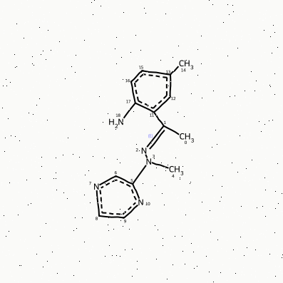 C/C(=N\N(C)c1cnccn1)c1cc(C)ccc1N